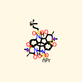 CCCS(=O)(=O)N1c2ccccc2[C@@]2(C34C[C@@]56SS[C@@](C)(C(=O)C5[C@H]3N(S(=O)(=O)CC[Si](C)(C)C)c3ccccc34)N(C)C6=O)C[C@@]34SS[C@@](C)(C(=O)N3[C@@H]12)N(C)C4=O